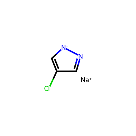 Clc1cn[n-]c1.[Na+]